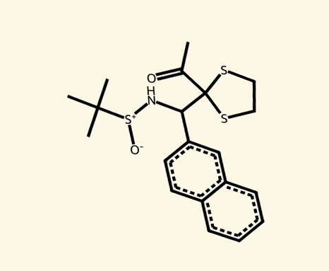 CC(=O)C1(C(N[S+]([O-])C(C)(C)C)c2ccc3ccccc3c2)SCCS1